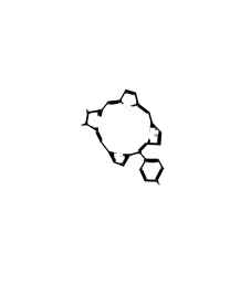 OC1c2cc3ccc(cc4nc(c(-c5ccc(F)cc5)c5ccc(cc(n2)C1O)s5)C=C4)[nH]3